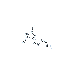 C/C=C\C=C/C1=CC(=O)NC1=O